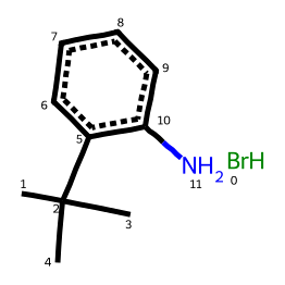 Br.CC(C)(C)c1ccccc1N